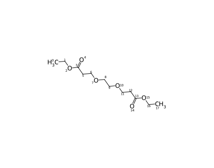 CCOC(=O)CCOCCOCCC(=O)OCC